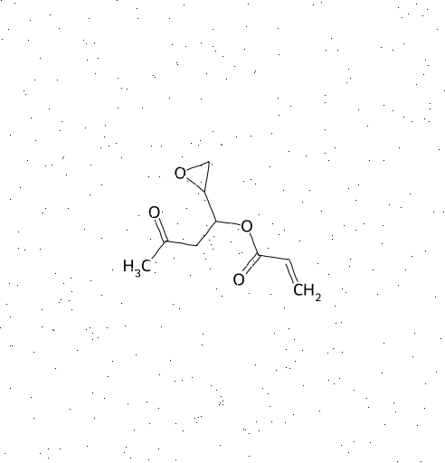 C=CC(=O)OC(CC(C)=O)C1CO1